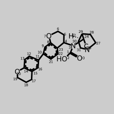 O=C(O)N(C1CCOc2cc(-c3ccc4c(c3)CCCO4)ccc21)[C@@H]1CN2CCC1CC2